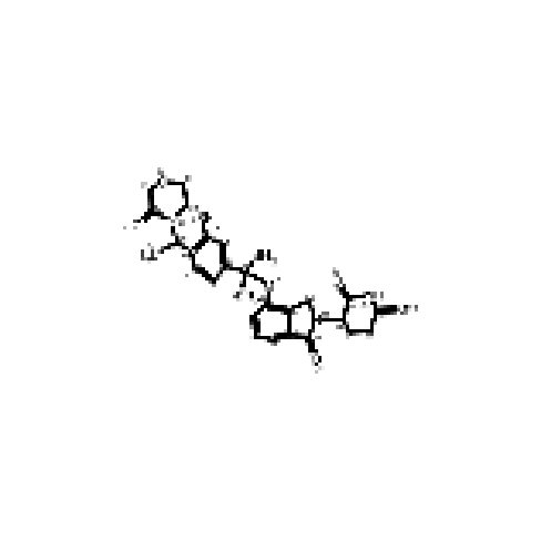 Bc1cc(C(B)(B)Oc2cccc3c2CN(C2CCC(=O)NC2=O)C3=O)ccc1C(B)N1CCOCC1=O